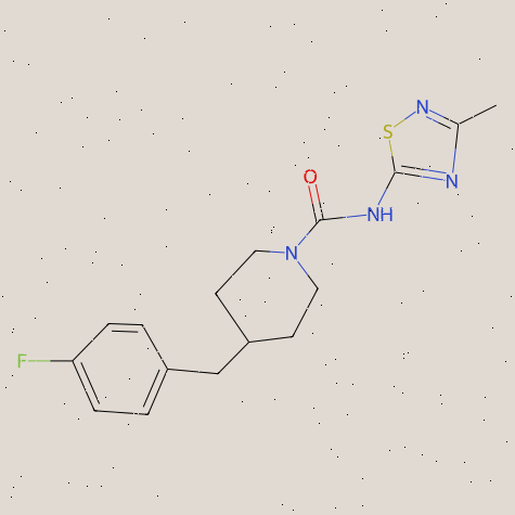 Cc1nsc(NC(=O)N2CCC(Cc3ccc(F)cc3)CC2)n1